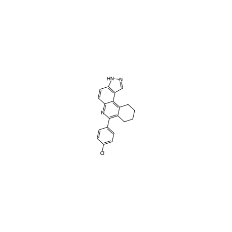 Clc1ccc(-c2nc3ccc4[nH]ncc4c3c3c2CCCC3)cc1